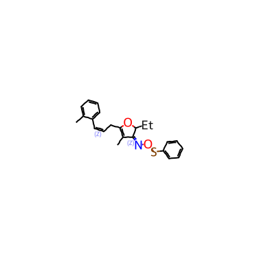 CCC1OC(C/C=C\c2ccccc2C)=C(C)/C1=N/OSc1ccccc1